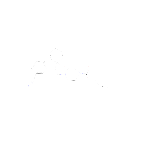 CCCCOC(=O)N1CCN(CC(c2cccc(C#N)c2)C2(O)CCCCC2)CC1